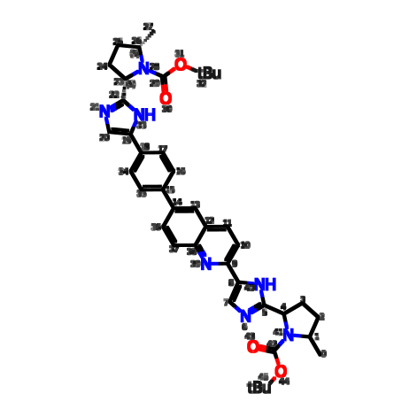 CC1CCC(c2ncc(-c3ccc4cc(-c5ccc(-c6cnc([C@@H]7CC[C@H](C)N7C(=O)OC(C)(C)C)[nH]6)cc5)ccc4n3)[nH]2)N1C(=O)OC(C)(C)C